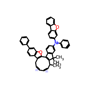 CC1/C=C\C=C/Cc2c(oc3cc(-c4ccccc4)ccc23)C2=C1C(C)(C)c1cc(N(c3cc#ccc3)c3ccc4c(c3)oc3ccccc34)ccc12